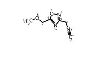 [C-]#[N+]Cc1noc(COC)n1